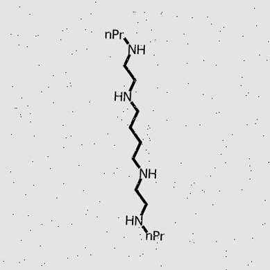 CCCNCCNCCCCNCCNCCC